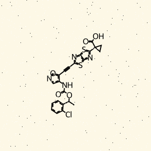 CC(OC(=O)Nc1cnoc1C#Cc1nc2sc(C3(C(=O)O)CC3)nc2s1)c1ccccc1Cl